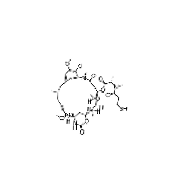 COc1cc2cc(c1Cl)N(C)C(=O)CC1(OC(=O)[C@H](C)N(C)C(=O)CCS)O[C@@H]([C@H](C)[C@@H]3C[C@@](O)(NC(=O)O3)[C@H](OC)/C=C/CC(C)C2)[C@@H]1C